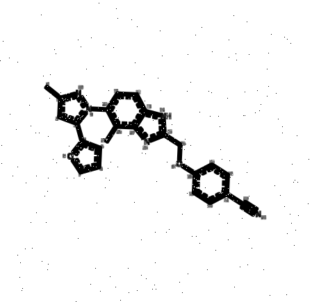 Cc1cc(-c2ccco2)n(-c2ccc3[nH]c(COc4ccc(C#N)cc4)nc3c2C)n1